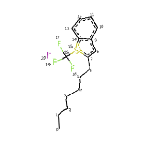 CCCCCCCc1cc2ccccc2[s+]1C(F)(F)F.[I-]